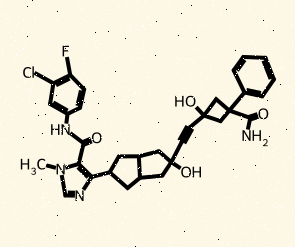 Cn1cnc(C2CC3CC(O)(C#CC4(O)CC(C(N)=O)(c5ccccc5)C4)CC3C2)c1C(=O)Nc1ccc(F)c(Cl)c1